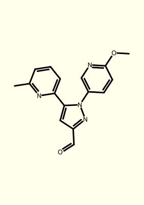 COc1ccc(-n2nc(C=O)cc2-c2cccc(C)n2)cn1